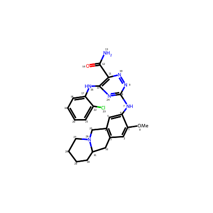 COc1cc2c(cc1Nc1nnc(C(N)=O)c(Nc3ccccc3Cl)n1)CN1CCCCC1C2